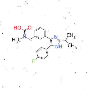 CC(C)c1nc(-c2cccc(CN(C)C(=O)O)c2)c(-c2ccc(F)cc2)[nH]1